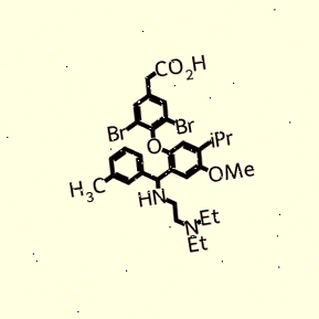 CCN(CC)CCNC(c1cccc(C)c1)c1cc(OC)c(C(C)C)cc1Oc1c(Br)cc(CC(=O)O)cc1Br